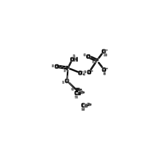 CC(C)OP(=O)([O-])O.O=P([O-])([O-])[O-].[Ca+2].[Ca+2]